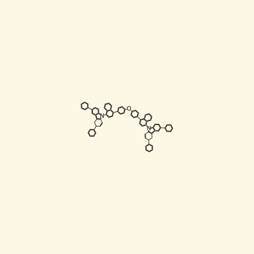 C1=CC(c2ccccc2)Cc2c1n(-c1ccc(-c3ccc(Oc4ccc(-c5ccc(-n6c7c(c8cc(-c9ccccc9)ccc86)CC(c6ccccc6)C=C7)c6ccccc56)cc4)cc3)c3ccccc13)c1ccc(-c3ccccc3)cc21